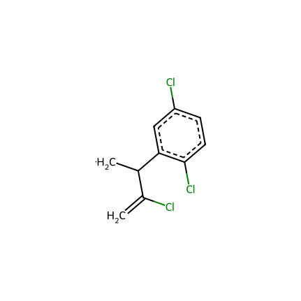 [CH2]C(C(=C)Cl)c1cc(Cl)ccc1Cl